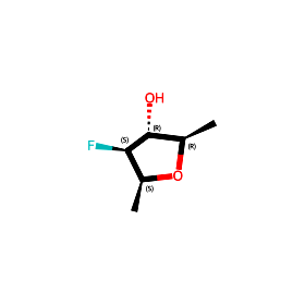 C[C@@H]1O[C@H](C)[C@@H](O)[C@@H]1F